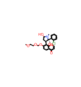 COCCOCOc1ccc2c(=O)ccoc2c1C1C[C@@H](O)N(C)[C@@]1(CO)c1ccccc1Cl